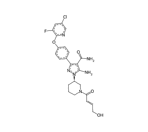 NC(=O)c1c(-c2ccc(Oc3ncc(Cl)cc3F)cc2)nn([C@@H]2CCCN(C(=O)/C=C/CO)C2)c1N